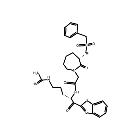 N=C(N)NCCC[C@H](NC(=O)CN1CCCC[C@H](NS(=O)(=O)Cc2ccccc2)C1=O)C(=O)c1nc2ccccc2s1